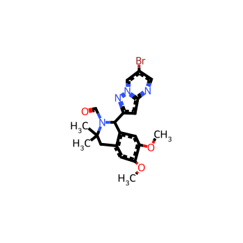 COc1cc2c(cc1OC)C(c1cc3ncc(Br)cn3n1)N(C=O)C(C)(C)C2